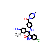 CN1CCN(C(=O)c2ccc(N/C(=C3/C(=O)Nc4cc(Cl)ccc43)c3ccc(N)c([N+](=O)[O-])c3)cc2)CC1